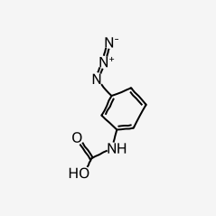 [N-]=[N+]=Nc1cccc(NC(=O)O)c1